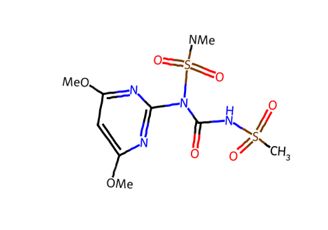 CNS(=O)(=O)N(C(=O)NS(C)(=O)=O)c1nc(OC)cc(OC)n1